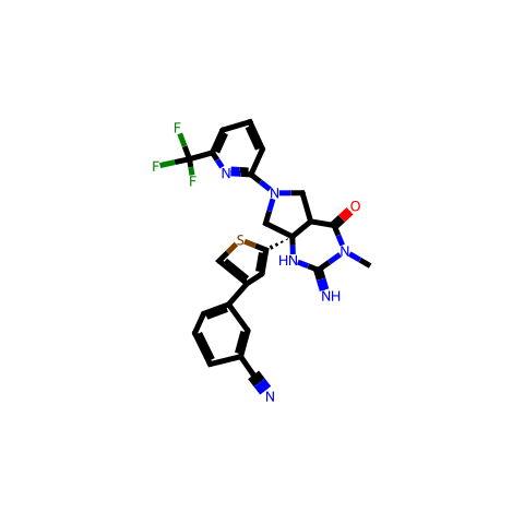 CN1C(=N)N[C@@]2(c3cc(-c4cccc(C#N)c4)cs3)CN(c3cccc(C(F)(F)F)n3)CC2C1=O